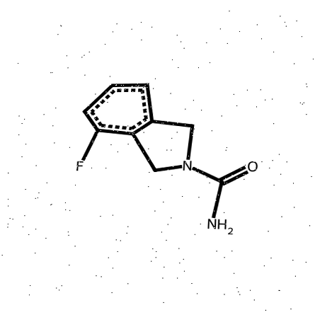 NC(=O)N1Cc2cccc(F)c2C1